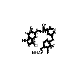 CC(=O)NCc1ccc(Cc2cncc(C(=O)NCc3cc4c(Cl)c[nH]c4cc3F)c2)c(F)c1F